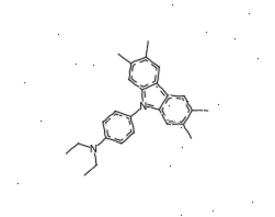 CCN(CC)c1ccc(-n2c3cc(C)c(C)cc3c3cc(C)c(C)cc32)cc1